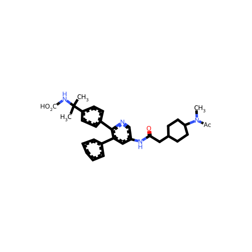 CC(=O)N(C)C1CCC(CC(=O)Nc2cnc(-c3ccc(C(C)(C)NC(=O)O)cc3)c(-c3ccccc3)c2)CC1